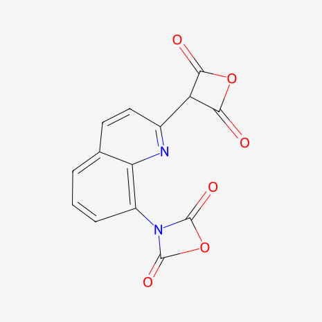 O=C1OC(=O)C1c1ccc2cccc(N3C(=O)OC3=O)c2n1